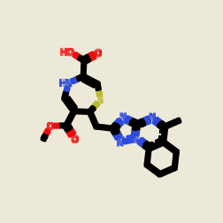 COC(=O)C1=CNC(C(=O)O)=CSC1Cc1nc2nc(C)c3c(n2n1)CCCC3